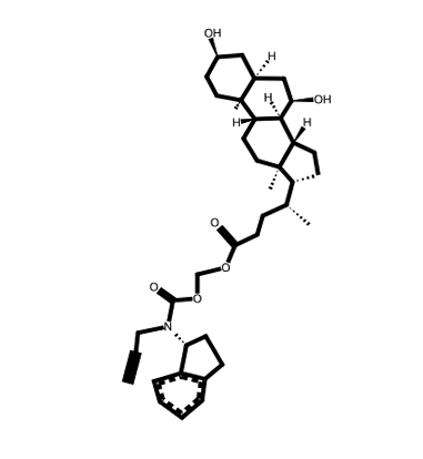 C#CCN(C(=O)OCOC(=O)CC[C@@H](C)[C@H]1CC[C@H]2[C@@H]3[C@H](O)C[C@@H]4C[C@H](O)CC[C@]4(C)[C@H]3CC[C@]12C)[C@@H]1CCc2ccccc21